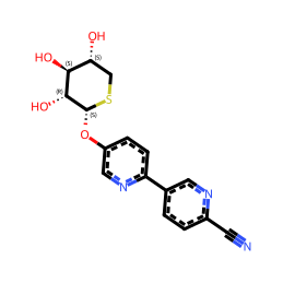 N#Cc1ccc(-c2ccc(O[C@H]3SC[C@@H](O)[C@H](O)[C@H]3O)cn2)cn1